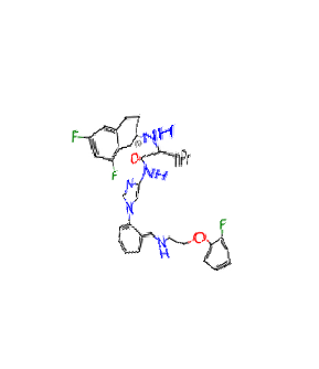 CCCC(N[C@H]1CCc2cc(F)cc(F)c2C1)C(=O)Nc1cn(-c2ccccc2CNCCOc2ccccc2F)cn1